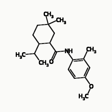 COc1ccc(NC(=O)C2CC(C)(C)CCC2C(C)C)c(C)c1